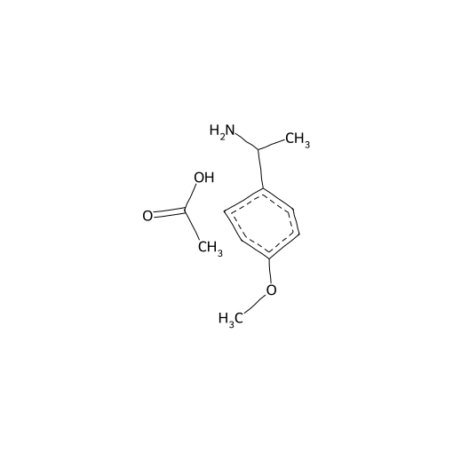 CC(=O)O.COc1ccc(C(C)N)cc1